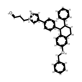 O=CCCn1cc(-c2ccc(C3c4ccc(OCc5ccccc5)cc4CCC3c3ccccc3)cc2)cn1